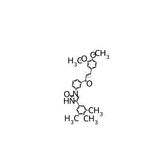 COc1ccc(/C=C/C(=O)c2cccc(-n3cc(-c4cc(C)c(C)c(C)c4)[nH]c3=O)c2)cc1OC